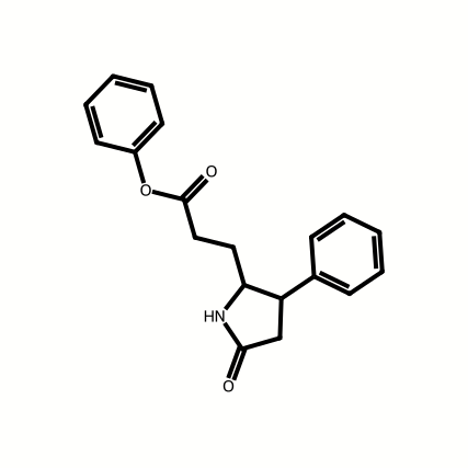 O=C1CC(c2ccccc2)C(CCC(=O)Oc2ccccc2)N1